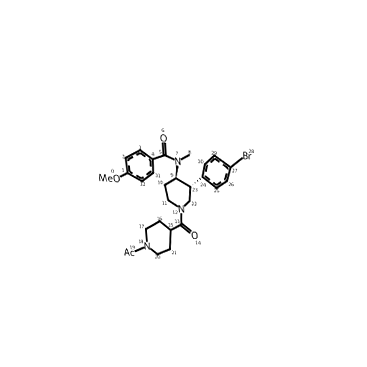 COc1ccc(C(=O)N(C)[C@@H]2CCN(C(=O)C3CCN(C(C)=O)CC3)C[C@H]2c2ccc(Br)cc2)cc1